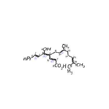 CCC/C=C/C(O)=C(\C=C\C(=O)O)C/C=C(\C)CCC=C(C)C